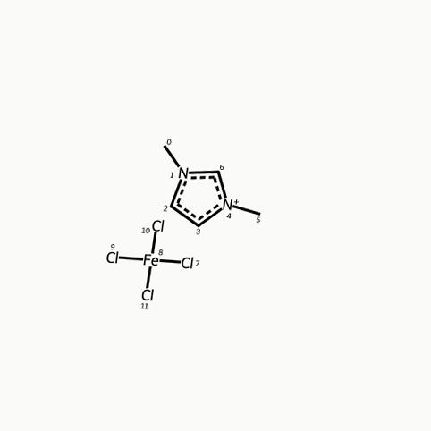 Cn1cc[n+](C)c1.[Cl][Fe]([Cl])([Cl])[Cl]